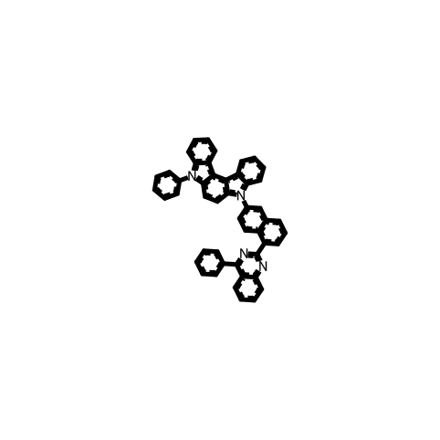 c1ccc(-c2nc(-c3cccc4cc(-n5c6ccccc6c6c7c8ccccc8n(-c8ccccc8)c7ccc65)ccc34)nc3ccccc23)cc1